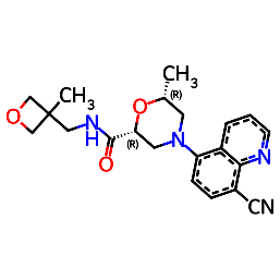 C[C@@H]1CN(c2ccc(C#N)c3ncccc23)C[C@H](C(=O)NCC2(C)COC2)O1